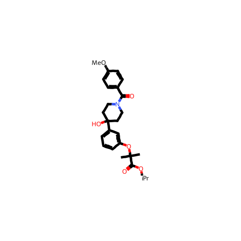 COc1ccc(C(=O)N2CCC(O)(c3cccc(OC(C)(C)C(=O)OC(C)C)c3)CC2)cc1